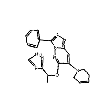 CC(Oc1nn2c(-c3ccccc3)nnc2cc1N1CC=CCC1)c1nc[nH]n1